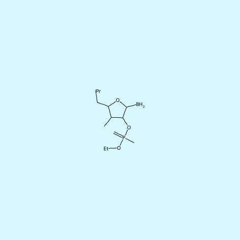 BC1OC(CC(C)C)C(C)C1OP(=C)(C)OCC